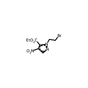 CCOC(=O)c1c([N+](=O)[O-])cnn1CCBr